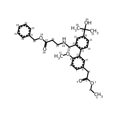 CCOC(=O)Cc1ccc(OC)c(-c2ccc(C(C)(C)O)cc2CNCCC(=O)OCc2ccccc2)c1